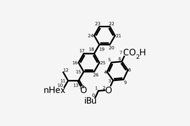 CCC(C)COc1ccc(C(=O)O)cc1.CCCCCCC(C)C(=O)c1ccc(-c2ccccc2)cc1